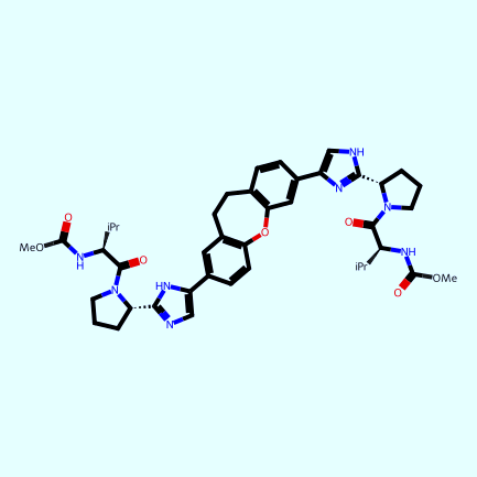 COC(=O)N[C@H](C(=O)N1CCC[C@H]1c1nc(-c2ccc3c(c2)Oc2ccc(-c4cnc([C@@H]5CCCN5C(=O)[C@@H](NC(=O)OC)C(C)C)[nH]4)cc2CC3)c[nH]1)C(C)C